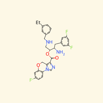 CCc1cccc(CNCC(OC(=O)c2ncn3c2COc2cc(F)ccc2-3)C(N)Cc2cc(F)cc(F)c2)c1